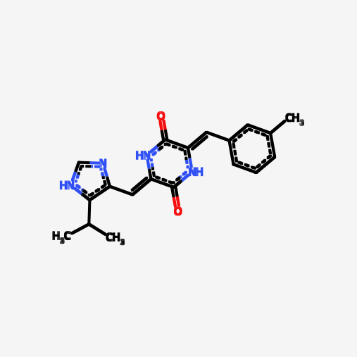 Cc1cccc(/C=c2\[nH]c(=O)/c(=C/c3nc[nH]c3C(C)C)[nH]c2=O)c1